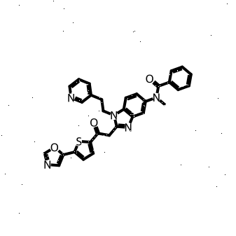 CN(C(=O)c1ccccc1)c1ccc2c(c1)nc(CC(=O)c1ccc(-c3cnco3)s1)n2CCc1cccnc1